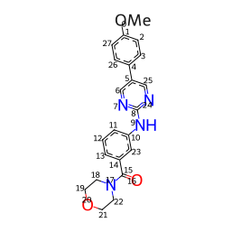 COc1ccc(-c2cnc(Nc3cccc(C(=O)N4CCOCC4)c3)nc2)cc1